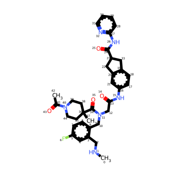 CNCc1cc(F)ccc1CN(CC(=O)Nc1ccc2c(c1)CC(C(=O)Nc1ccccn1)C2)C(=O)C1(C)CCN(C(C)=O)CC1